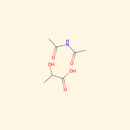 CC(=O)NC(C)=O.CC(O)C(=O)O